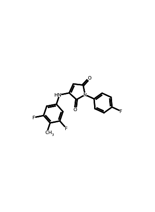 Cc1c(F)cc(NC2=CC(=O)N(c3ccc(F)cc3)C2=O)cc1F